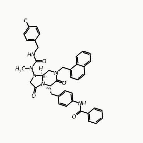 CN(C(=O)NCc1ccc(F)cc1)N1CC(=O)N2[C@@H](Cc3ccc(NC(=O)c4ccccc4)cc3)C(=O)N(Cc3cccc4ccccc34)C[C@@H]21